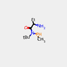 CCC(N)C(=O)N(PC)C(C)(C)C